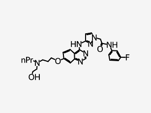 CCCN(CCO)CCCOc1ccc2c(Nc3ccn(CC(=O)Nc4cccc(F)c4)n3)ncnc2c1